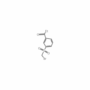 CCC(=O)c1cccc(S(=O)(=O)CBr)c1